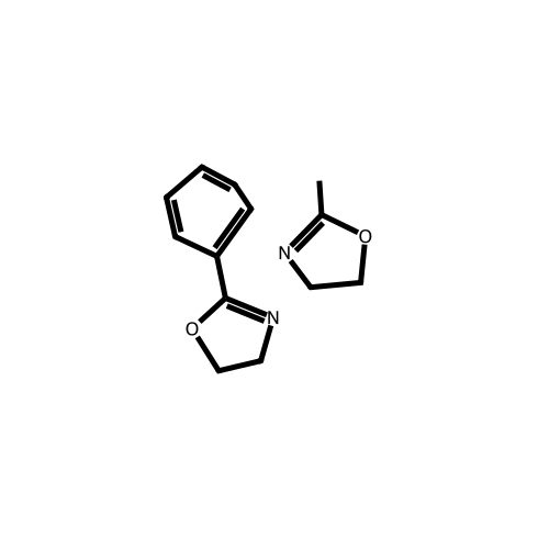 CC1=NCCO1.c1ccc(C2=NCCO2)cc1